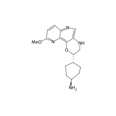 COc1ccc2ncc3c(c2n1)OC([C@H]1CC[C@H](N)CC1)CN3